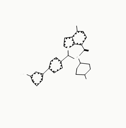 COc1cccc(-c2ccc(C(C)n3ccc4c(F)ccc(C(=O)NC5CCC(C(=O)O)CC5)c43)cc2)c1